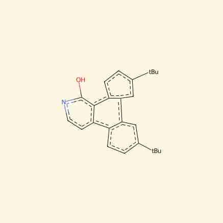 CC(C)(C)c1ccc2c(c1)c1cc(C(C)(C)C)ccc1c1c(O)nccc21